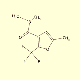 Cc1cc(C(=O)N(C)C)c(C(F)(F)F)o1